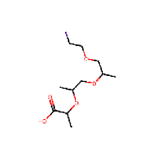 CC(COCCI)OCC(C)OC(C)C(=O)O